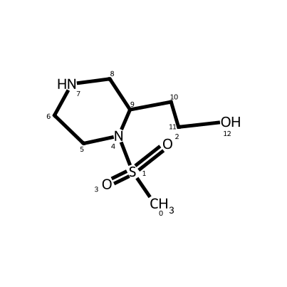 CS(=O)(=O)N1CCNCC1CCO